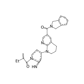 C=C(CC)C(=O)n1ccc(N2CCCc3cc(C(=O)N4Cc5ccccc5C4)cnc32)cc1=N